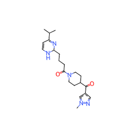 CC(C)C1=NC(CCCC(=O)N2CCC(C(=O)c3cnn(C)c3)CC2)NC=C1